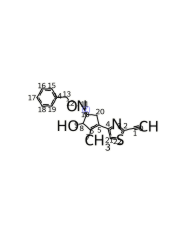 C#Cc1nc(C2=C(C)C(O)/C(=N\OCc3ccccc3)C2)cs1